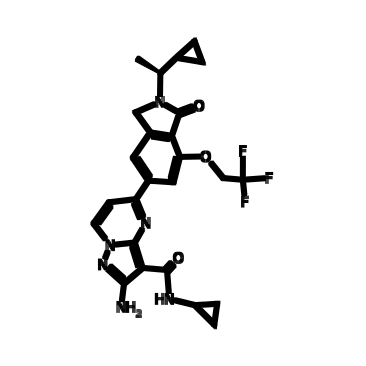 C[C@@H](C1CC1)N1Cc2cc(-c3ccn4nc(N)c(C(=O)NC5CC5)c4n3)cc(OCC(F)(F)F)c2C1=O